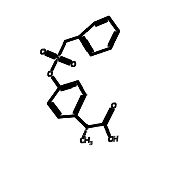 C[C@@H](C(=O)O)c1ccc(OS(=O)(=O)Cc2ccccc2)cc1